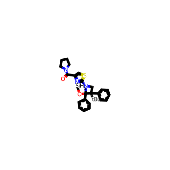 CC(C)(C)C1(c2ccccc2)CN(c2nc(C(=O)N3CCCC3)cs2)C1(O[SiH3])c1ccccc1